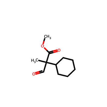 COC(=O)C(C)(C=O)C1CCCCC1